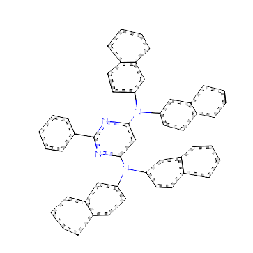 c1ccc(-c2nc(N(c3ccc4ccccc4c3)c3ccc4ccccc4c3)cc(N(c3ccc4ccccc4c3)c3ccc4ccccc4c3)n2)cc1